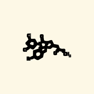 COC(=O)/C=C1/CN2C(=O)N(c3cc(Cl)cc(Cl)c3)C(=O)C2(Cc2ccc(Br)cc2)C1